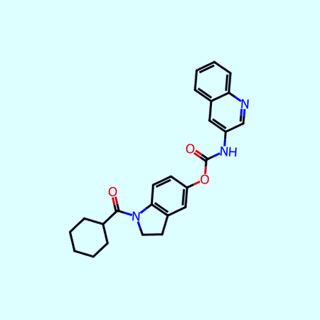 O=C(Nc1cnc2ccccc2c1)Oc1ccc2c(c1)CCN2C(=O)C1CCCCC1